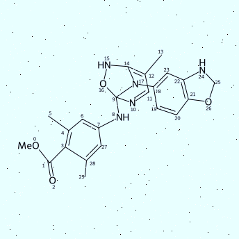 COC(=O)c1c(C)cc(NC23N=CC(C)=C(NO2)N3c2ccc3c(c2)NCO3)cc1C